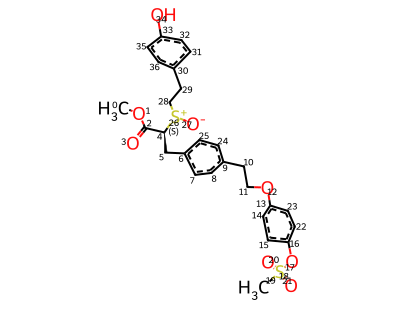 COC(=O)[C@H](Cc1ccc(CCOc2ccc(OS(C)(=O)=O)cc2)cc1)[S+]([O-])CCc1ccc(O)cc1